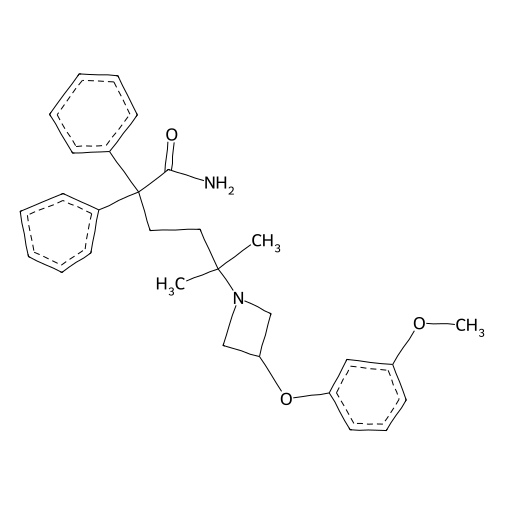 COc1cccc(OC2CN(C(C)(C)CCC(C(N)=O)(c3ccccc3)c3ccccc3)C2)c1